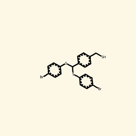 SCc1ccc(C(Sc2ccc(Br)cc2)Sc2ccc(Br)cc2)cc1